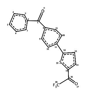 O=C(c1ccccc1)c1ccc(-c2ccc(C(=O)C(F)(F)F)s2)cc1